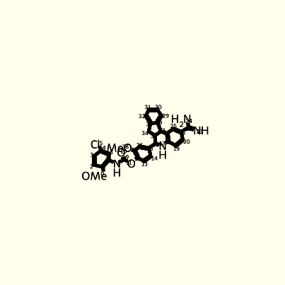 COc1ccc(Cl)cc1NC(=O)Oc1ccc(C2Nc3ccc(C(=N)N)cc3C3c4ccccc4CC23)cc1OC